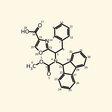 COC(=O)N(C(Cc1ccccc1)c1nc(C(=O)O)co1)C1c2ccccc2-c2ccccc21